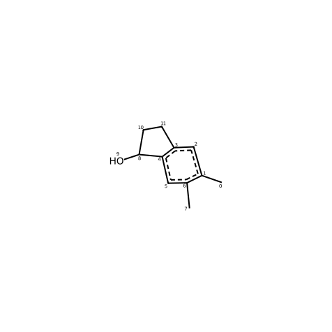 Cc1cc2c(cc1C)C(O)CC2